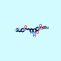 CC(C)(C)OC(=O)N1CCC2(CC1)Cc1cc(/C=C/C(=O)N3CCC(=Cc4cscn4)CC3)cnc1NC2=O